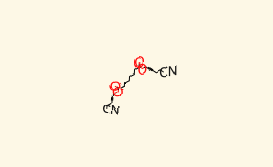 N#CCCC#CCOC(=O)CCCCCCC(=O)OCC#CCCC#N